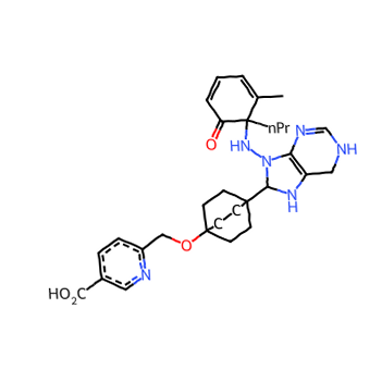 CCCC1(NN2C3=C(CNC=N3)NC2C23CCC(OCc4ccc(C(=O)O)cn4)(CC2)CC3)C(=O)C=CC=C1C